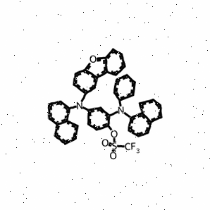 O=S(=O)(Oc1ccc(N(c2ccc3oc4ccccc4c3c2)c2cccc3ccccc23)cc1N(c1ccccc1)c1cccc2ccccc12)C(F)(F)F